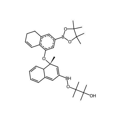 CC(C)(O)C(C)(C)OBC1=C[C@@](C)(Oc2cc(B3OC(C)(C)C(C)(C)O3)cc3c2C=CCC3)C2C=CC=CC2=C1